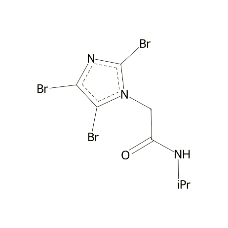 CC(C)NC(=O)Cn1c(Br)nc(Br)c1Br